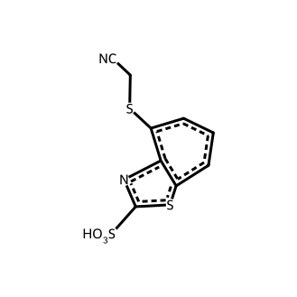 N#CCSc1cccc2sc(S(=O)(=O)O)nc12